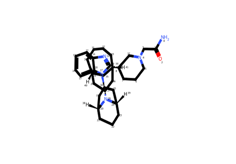 NC(=O)CN1CCC[C@H](c2nc3ccccc3n2[C@@H]2C[C@H]3CCC[C@@H](C2)N3[C@@H]2C[C@@H]3CCCC[C@@H](C3)C2)C1